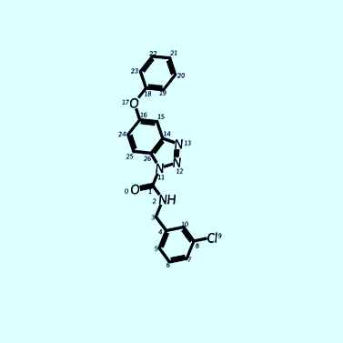 O=C(NCc1cccc(Cl)c1)n1nnc2cc(Oc3ccccc3)ccc21